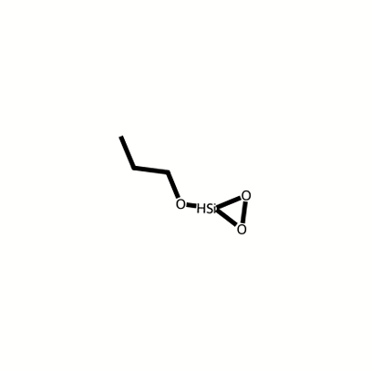 CCCO[SiH]1OO1